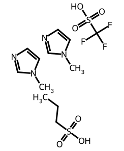 CCCS(=O)(=O)O.Cn1ccnc1.Cn1ccnc1.O=S(=O)(O)C(F)(F)F